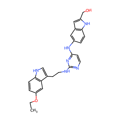 CCOc1ccc2[nH]cc(CCNc3nccc(Nc4ccc5[nH]c(CO)cc5c4)n3)c2c1